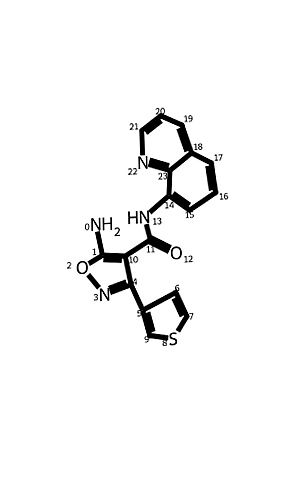 Nc1onc(-c2ccsc2)c1C(=O)Nc1cccc2cccnc12